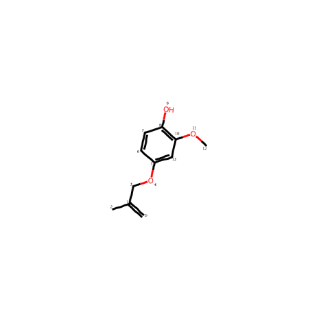 C=C(C)COc1ccc(O)c(OC)c1